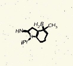 BC1(C)CCCC2=C1CC(=N)N2C(C)C